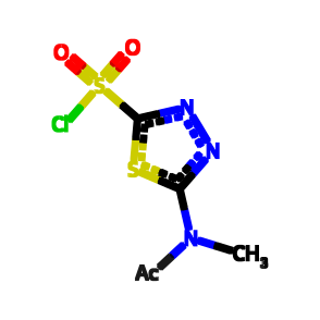 CC(=O)N(C)c1nnc(S(=O)(=O)Cl)s1